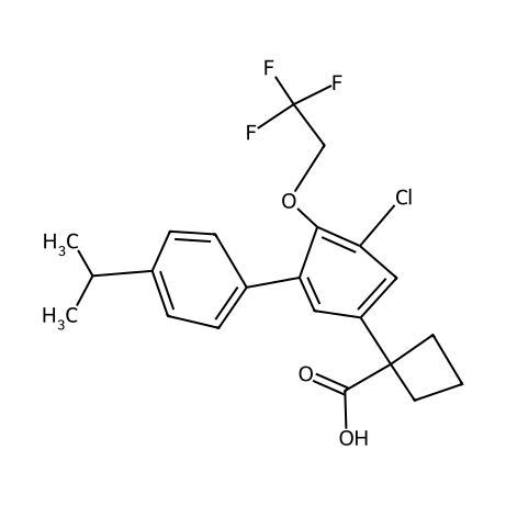 CC(C)c1ccc(-c2cc(C3(C(=O)O)CCC3)cc(Cl)c2OCC(F)(F)F)cc1